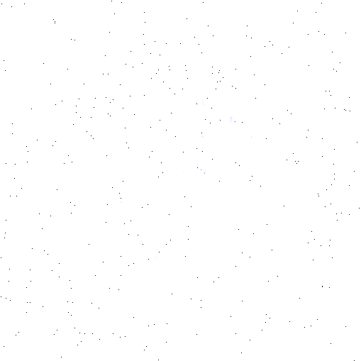 O=C(COc1cccc(Br)c1)Nc1ccnc(Cl)c1